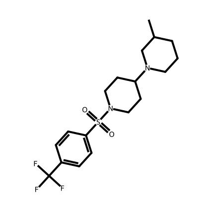 CC1CCCN(C2CCN(S(=O)(=O)c3ccc(C(F)(F)F)cc3)CC2)C1